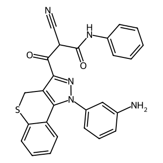 N#CC(C(=O)Nc1ccccc1)C(=O)c1nn(-c2cccc(N)c2)c2c1CSc1ccccc1-2